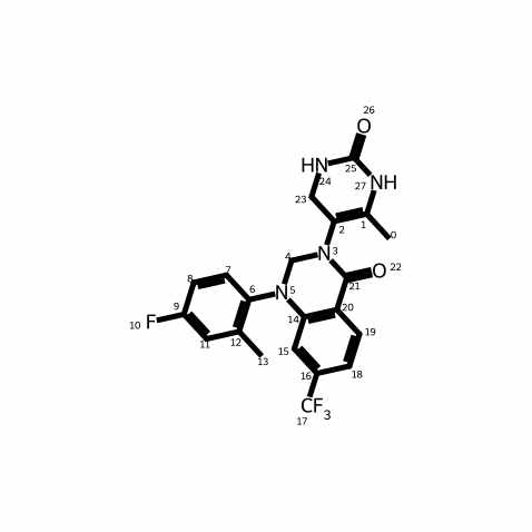 CC1=C(N2CN(c3ccc(F)cc3C)c3cc(C(F)(F)F)ccc3C2=O)CNC(=O)N1